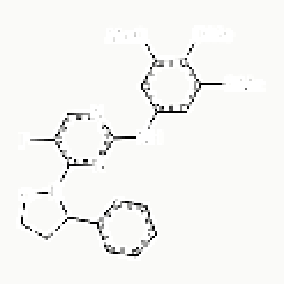 COc1cc(Nc2ncc(F)c(N3OCCC3c3ccccc3)n2)cc(OC)c1OC